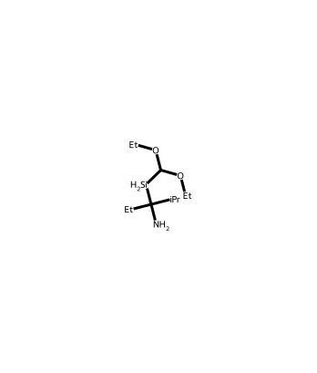 CCOC(OCC)[SiH2]C(N)(CC)C(C)C